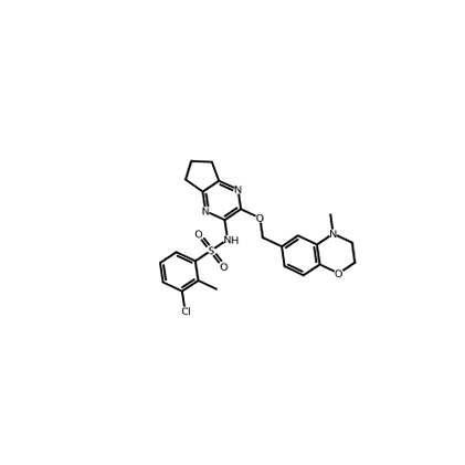 Cc1c(Cl)cccc1S(=O)(=O)Nc1nc2c(nc1OCc1ccc3c(c1)N(C)CCO3)CCC2